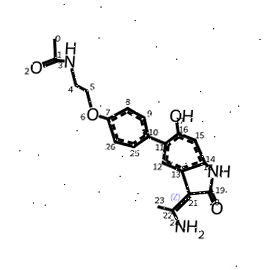 CC(=O)NCCOc1ccc(-c2cc3c(cc2O)NC(=O)/C3=C(/C)N)cc1